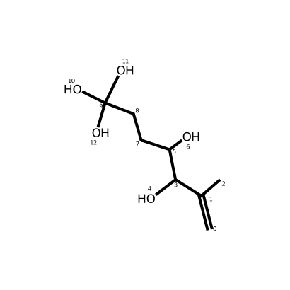 C=C(C)C(O)C(O)CCC(O)(O)O